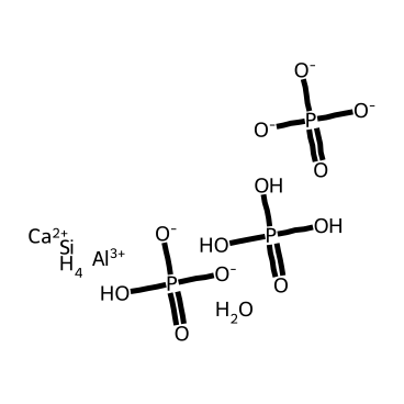 O.O=P(O)(O)O.O=P([O-])([O-])O.O=P([O-])([O-])[O-].[Al+3].[Ca+2].[SiH4]